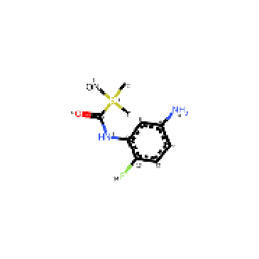 CS(C)(N=O)C(=O)Nc1cc(N)ccc1F